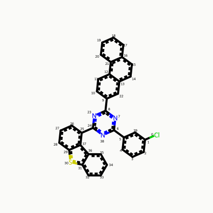 Clc1cccc(-c2nc(-c3ccc4c(ccc5ccccc54)c3)nc(-c3cccc4sc5ccccc5c34)n2)c1